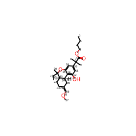 CCCCOC(=O)C(C)(C)c1cc(O)c2c(c1)OC(C)(C)[C@@H]1CCC(=COC)C[C@H]21